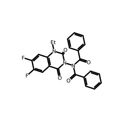 CCn1c(=O)n(N(C(=O)c2ccccc2)C(=O)c2ccccc2)c(=O)c2cc(F)c(F)cc21